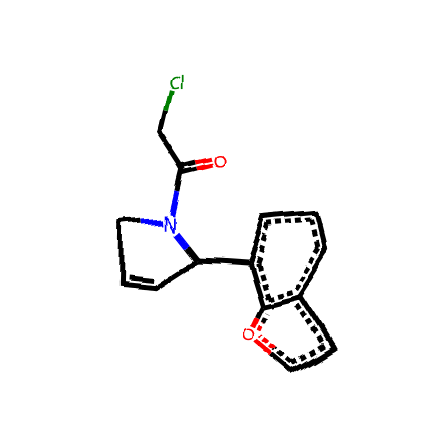 O=C(CCl)N1CC=CC1c1cccc2ccoc12